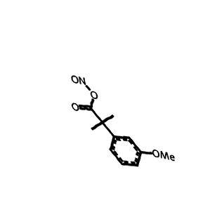 COc1cccc(C(C)(C)C(=O)ON=O)c1